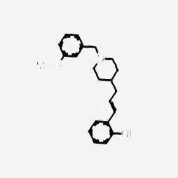 COc1cccc(CN2CCC(C/C=C/c3ccccc3N)CC2)c1